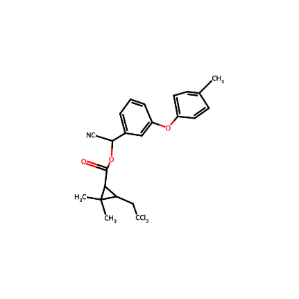 Cc1ccc(Oc2cccc(C(C#N)OC(=O)C3C(CC(Cl)(Cl)Cl)C3(C)C)c2)cc1